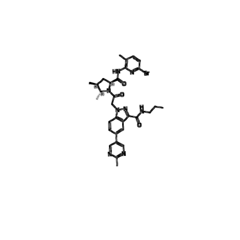 CCCNC(=O)c1nn(CC(=O)N2[C@H](C)[C@@H](C)C[C@H]2C(=O)Nc2nc(Br)ccc2C)c2ccc(-c3cnc(C)nc3)cc12